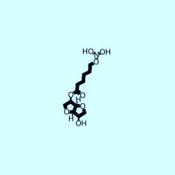 O=C(CCCCCON(O)O)O[C@@H]1CO[C@H]2[C@@H]1OC[C@H]2O